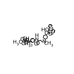 CN(CCC(=O)Nc1ccc(CO[Si](C)(C)C(C)(C)C)cc1Cl)C1CCC(OC(=O)C(O)(c2cccs2)c2cccs2)CC1